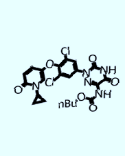 CCCCOC(=O)Nc1nn(-c2cc(Cl)c(Oc3ccc(=O)n(C4CC4)c3)c(Cl)c2)c(=O)[nH]c1=O